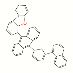 C1=CC(c2c3ccccc3c(-c3cccc4c5c(oc34)C=CCC5)c3ccccc23)CC(c2cccc3ccccc23)=C1